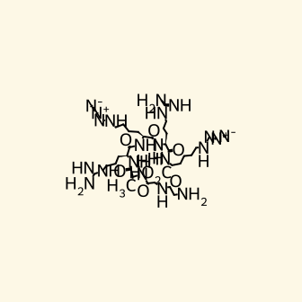 C[C@H](NC(=O)CNC(=O)CN)C(=O)N[C@@H](CCCNC(=N)N)C(=O)N[C@@H](CCCCNN=[N+]=[N-])C(=O)N[C@@H](CCCNC(=N)N)C(=O)N[C@@H](CCCCNN=[N+]=[N-])C(=O)O